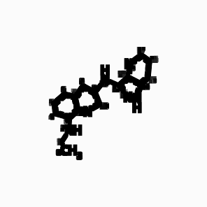 CCNc1cccc2cc(Nc3n[nH]c4cccnc34)cnc12